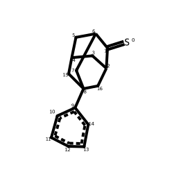 S=C1C2CC3CC1CC(c1ccccc1)(C3)C2